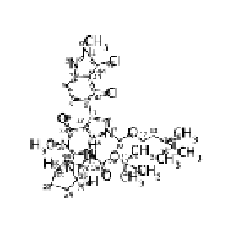 Cn1nc2ccc(-c3cn(COCC[Si](C)(C)C)c4nc(N5[C@H]6CC[C@@H]5[C@H](NC(=O)OC(C)(C)C)C6)n(C)c(=O)c34)c(Cl)c2c1Cl